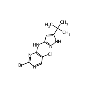 CC(C)(C)c1cc(Nc2nc(Br)ncc2Cl)n[nH]1